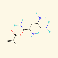 C=C(C)C(=O)OC(C(CC(CN(F)F)N(F)F)N(F)F)N(F)F